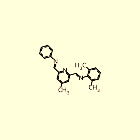 Cc1cc(C=Nc2ccccc2)nc(C=Nc2c(C)cccc2C)c1